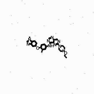 CCON1CCN(c2ncc3ncnc(Nc4ccc(Oc5ccc6c(c5)ncn6C)c(C)c4)c3n2)CC1